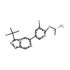 C[C@H](Oc1ncc(-c2cn3c(C(C)(F)F)nnc3cn2)cc1F)C(F)(F)F